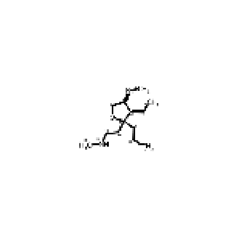 C/C=C1\C(=N/C)CO[C@@]1(CCC)CCNC